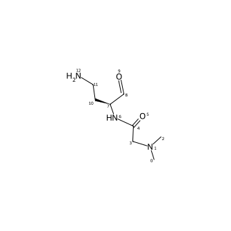 CN(C)CC(=O)N[C@H](C=O)CCN